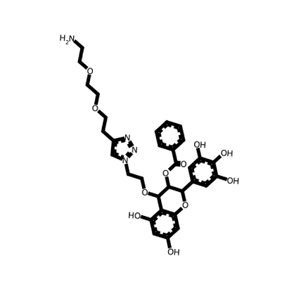 NCCOCCOCCc1cn(CCOC2c3c(O)cc(O)cc3OC(c3cc(O)c(O)c(O)c3)C2OC(=O)c2ccccc2)nn1